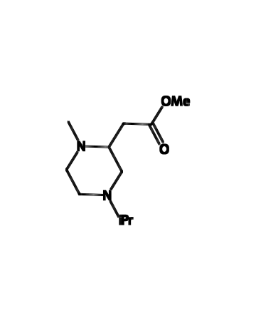 COC(=O)CC1CN(C(C)C)CCN1C